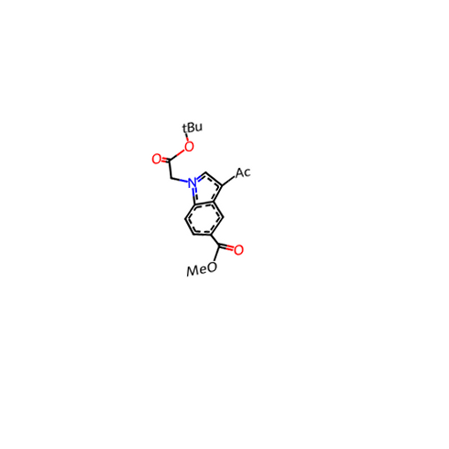 COC(=O)c1ccc2c(c1)c(C(C)=O)cn2CC(=O)OC(C)(C)C